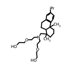 CC(C)c1ccc2c(c1)CCC1C(C)(CN(CCOCCO)CCOCCO)CCCC21C